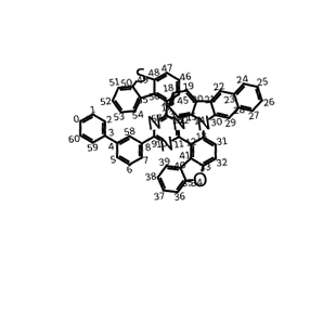 c1ccc(-c2cccc(-c3nc(-c4c(-n5c6ccccc6c6cc7ccccc7cc65)ccc5oc6ccccc6c45)nc(-c4cccc5sc6ccccc6c45)n3)c2)cc1